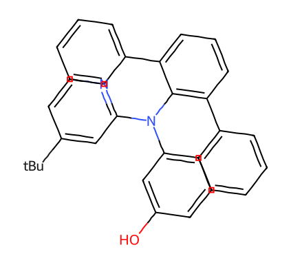 CC(C)(C)c1ccnc(N(c2cccc(O)c2)c2c(-c3ccccc3)cccc2-c2ccccc2)c1